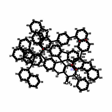 C=C(C1=C(/C=C\C)C2(c3cc(N(c4ccc5ccccc5c4)c4cc(-c5ccc(-c6ccccc6)cc5)c5sc6ccccc6c5c4)ccc3S1)c1ccccc1-c1ccc(N(c3ccccc3)c3ccc(-c4cccc5ccccc45)c4sc5ccccc5c34)cc12)N(c1ccccc1)c1ccc(-c2ccccc2)c2sc3ccccc3c12